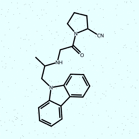 CC(Cn1c2ccccc2c2ccccc21)NCC(=O)N1CCCC1C#N